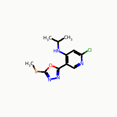 CSc1nnc(-c2cnc(Cl)cc2NC(C)C)o1